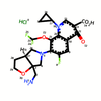 Cl.NCC12CN(c3c(F)cc4c(=O)c(C(=O)O)cn(C5CC5)c4c3OC(F)F)C[C@@H]1CCO2